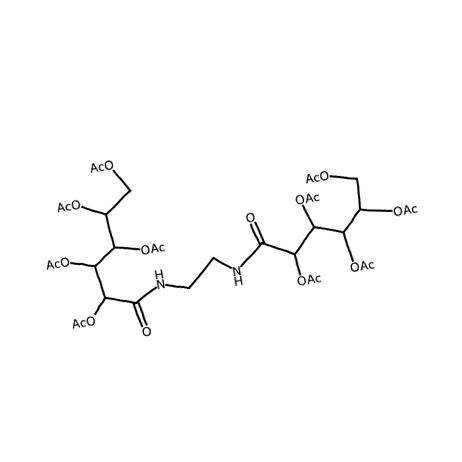 CC(=O)OCC(OC(C)=O)C(OC(C)=O)C(OC(C)=O)C(OC(C)=O)C(=O)NCCNC(=O)C(OC(C)=O)C(OC(C)=O)C(OC(C)=O)C(COC(C)=O)OC(C)=O